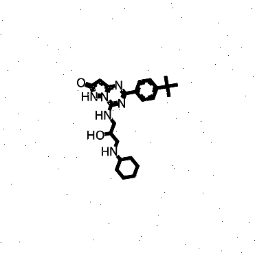 CC(C)(C)c1ccc(-c2nc(NCC(O)CNC3CCCCC3)n3[nH]c(=O)cc3n2)cc1